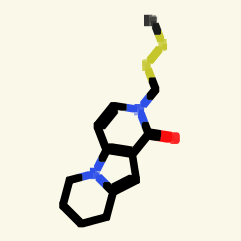 CCSSCn1ccc2c(cc3n2CCCC3)c1=O